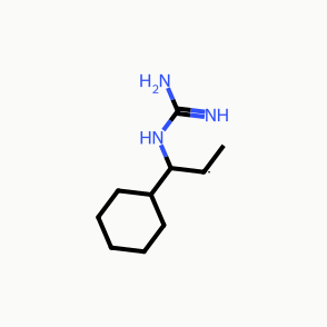 C[CH]C(NC(=N)N)C1CCCCC1